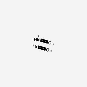 [O]=[InH].[O]=[Ir]